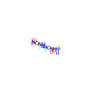 CC(=S)NC[C@H]1CN(c2ccc(N3CCN(C(=S)Nc4ccc([N+](=O)[O-])cc4)CC3)c(F)c2)C(=O)O1